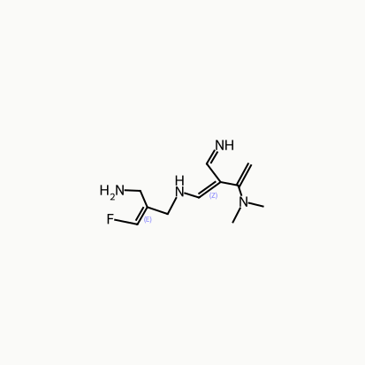 C=C(/C(C=N)=C/NC/C(=C/F)CN)N(C)C